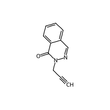 C#CCn1ncc2ccccc2c1=O